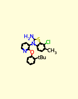 Cc1ccc2c(c1Cl)SC(N)N2c1cccnc1Oc1ccccc1C(C)(C)C